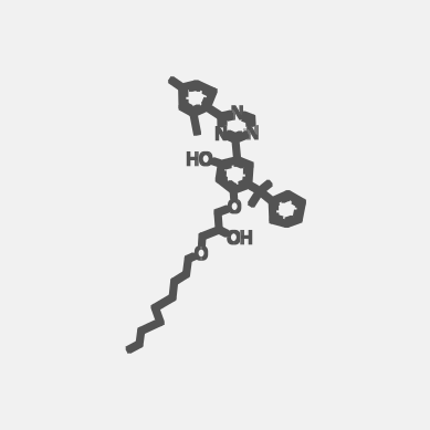 CCCCCCCCCOCC(O)COc1cc(O)c(-c2ncnc(-c3ccc(C)cc3C)n2)cc1C(C)(C)c1ccccc1